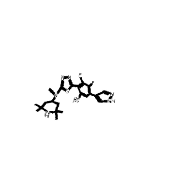 CN(c1nnc(-c2c(O)cc(-c3cn[nH]c3)c(F)c2F)s1)C1CC(C)(C)NC(C)(C)C1